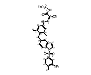 CCOC(=O)NC(=O)C(C#N)=NNc1cc(C)c(Cc2ccc3c(ccn3S(=O)(=O)c3ccc(C)c(C(C)C)c3)c2)c(C)c1